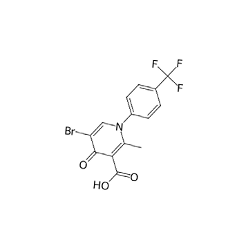 Cc1c(C(=O)O)c(=O)c(Br)cn1-c1ccc(C(F)(F)F)cc1